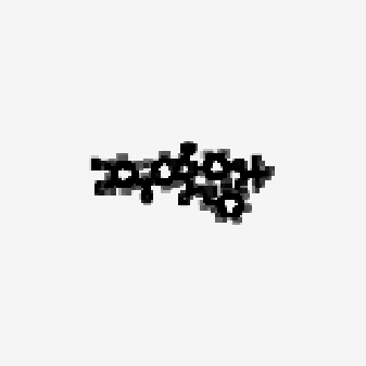 CC(Oc1ccc(-n2c(C(=O)NCc3ccccc3)c3n(c2=O)CCN(C(=O)c2ccc(Br)c(Cl)c2)C3)cc1)C(F)(F)F